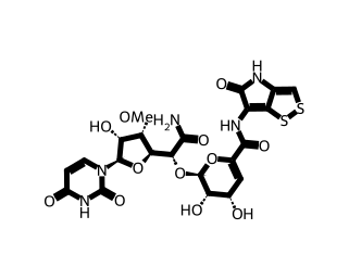 CO[C@H]1[C@@H](O)[C@H](n2ccc(=O)[nH]c2=O)O[C@@H]1[C@@H](O[C@H]1OC(C(=O)Nc2c3sscc-3[nH]c2=O)=C[C@H](O)[C@@H]1O)C(N)=O